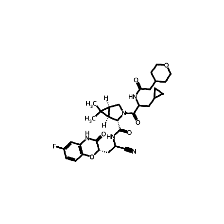 CC1(C)[C@@H]2[C@@H](C(=O)NC(C#N)C[C@@H]3Oc4ccc(F)cc4NC3=O)N(C(=O)C(CC3CC3)NC(=O)CC3CCOCC3)C[C@@H]21